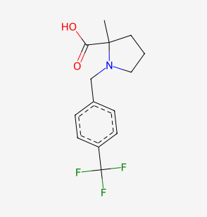 CC1(C(=O)O)CCCN1Cc1ccc(C(F)(F)F)cc1